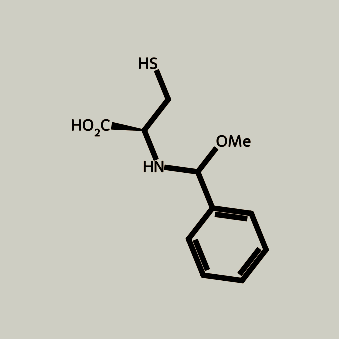 COC(N[C@H](CS)C(=O)O)c1ccccc1